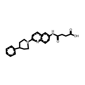 O=C(O)CCC(=O)Nc1ccc2nc(N3CCC(c4ccccc4)CC3)ccc2c1